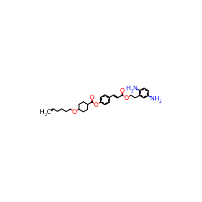 C=CCCCCOC1CCC(C(=O)Oc2ccc(/C=C/C(=O)OCCc3cc(N)ccc3N)cc2)CC1